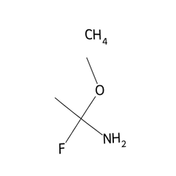 C.COC(C)(N)F